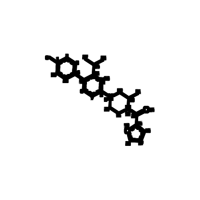 Cc1ccc(-c2ccc(N3CCN(C(=O)c4ccco4)C(C)C3)nc2C(C)C)cc1